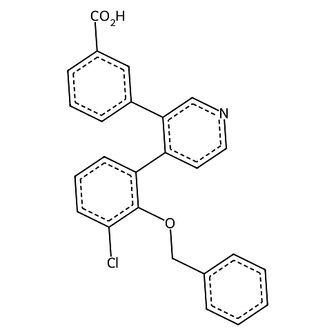 O=C(O)c1cccc(-c2cnccc2-c2cccc(Cl)c2OCc2ccccc2)c1